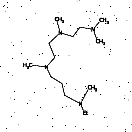 CCN(C)CCCN(C)CCN(C)CCN(C)C